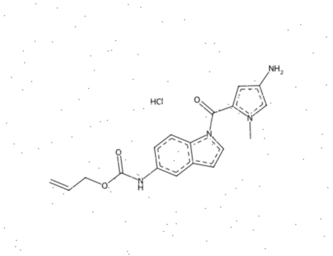 C=CCOC(=O)Nc1ccc2c(ccn2C(=O)c2cc(N)cn2C)c1.Cl